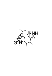 CC(C)OCC(C(C)C(C)c1nn[nH]n1)N(C)S(C)(=O)=O